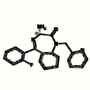 N[C@H]1N=C(c2ccccc2F)c2ccccc2N(Cc2ccccn2)C1=O